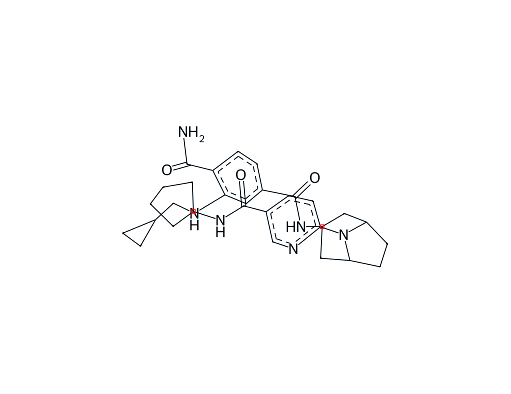 NC(=O)c1ccc(C(=O)NC2CC3CCC(C2)N3c2ccc(C(=O)NC3CCCC3)cn2)cc1NCC1CC1